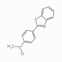 C[S+]([O-])c1ccc(-c2nc3ccccc3s2)cc1